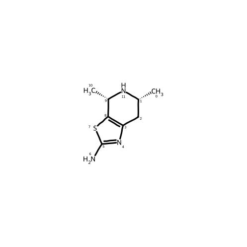 C[C@@H]1Cc2nc(N)sc2[C@H](C)N1